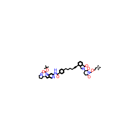 CN1CCC[C@@H]1c1cc2cnc(NC(=O)c3ccc(CCCCC#Cc4cccc5c4CN(C4CCC(=O)N(COCC[Si](C)(C)C)C4=O)C5=O)cc3)cc2n1C(=O)OC(C)(C)C